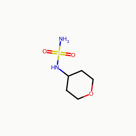 NS(=O)(=O)NC1CCOCC1